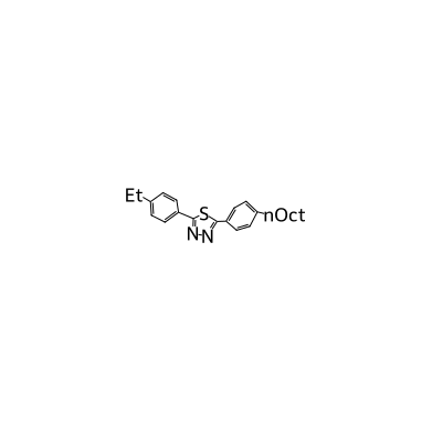 CCCCCCCCc1ccc(-c2nnc(-c3ccc(CC)cc3)s2)cc1